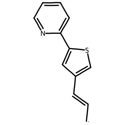 [CH2]/C=C/c1csc(-c2ccccn2)c1